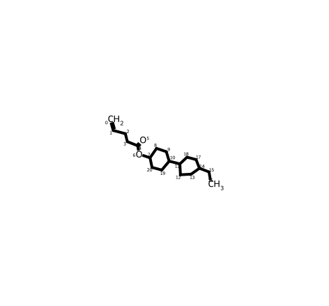 C=CCCC(=O)OC1CCC(C2CCC(CC)CC2)CC1